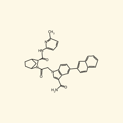 Cc1cccc(NC(=O)[C@@H]2C3CCC(C3)N2C(=O)Cn2cc(C(N)=O)c3cc(-c4ccc5ccccc5c4)ccc32)n1